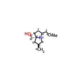 C=C1CN2C(COC)CC[C@]2(CO)C1